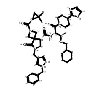 C[C@@H](OCC1CCCCC1)[C@H](NC(=O)[C@@H]1CN(Cc2cnn(Cc3ccccc3)c2)C(=O)C12CN(C(=O)[C@H]1CC1(C)C)C2)C(=O)N1CCC(c2nccs2)CC1